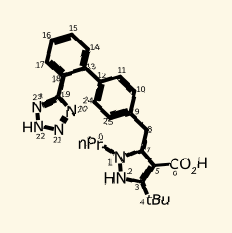 CCCN1NC(C(C)(C)C)=C(C(=O)O)C1Cc1ccc(-c2ccccc2-c2nn[nH]n2)cc1